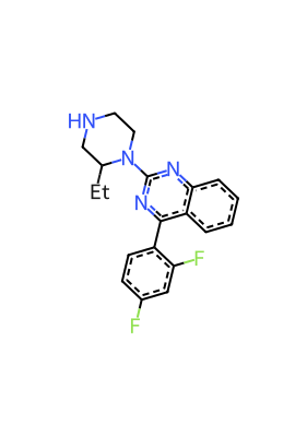 CCC1CNCCN1c1nc(-c2ccc(F)cc2F)c2ccccc2n1